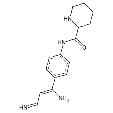 N=C/C=C(\N)c1ccc(NC(=O)C2CCCCN2)cc1